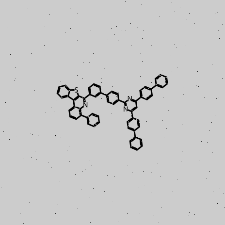 c1ccc(-c2ccc(-c3cc(-c4ccc(-c5ccccc5)cc4)nc(-c4ccc(-c5cccc(-c6nc7c(-c8ccccc8)cccc7c7c6sc6ccccc67)c5)cc4)n3)cc2)cc1